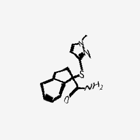 Cn1ccc(SC2(C(N)=O)CCc3ccccc32)n1